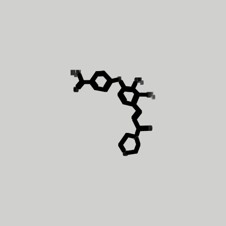 NC(=O)c1c[c]c(Sc2ccc(C=CC(=O)N3CCOCC3)c(C(F)(F)F)c2C(F)(F)F)cc1